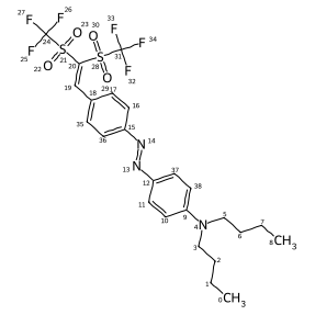 CCCCN(CCCC)c1ccc(/N=N/c2ccc(C=C(S(=O)(=O)C(F)(F)F)S(=O)(=O)C(F)(F)F)cc2)cc1